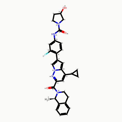 C[C@@H]1c2ccccc2CCN1C(=O)c1cc(C2CC2)c2cc(-c3ccc(NC(=O)N4CCC(O)C4)cc3F)cn2n1